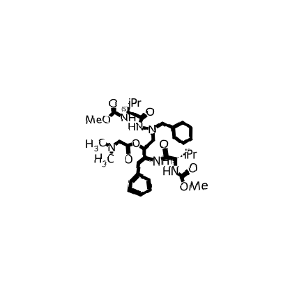 COC(=O)N[C@H](C(=O)NC(Cc1ccccc1)C(CN(CC1CCCCC1)NC(=O)[C@@H](NC(=O)OC)C(C)C)OC(=O)CN(C)C)C(C)C